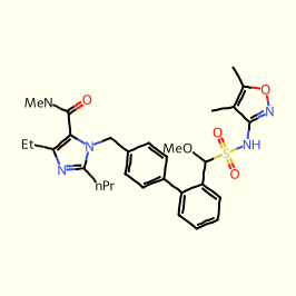 CCCc1nc(CC)c(C(=O)NC)n1Cc1ccc(-c2ccccc2C(OC)S(=O)(=O)Nc2noc(C)c2C)cc1